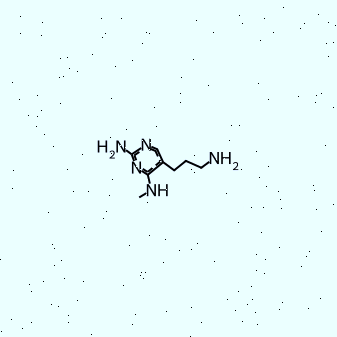 CNc1nc(N)ncc1CCCN